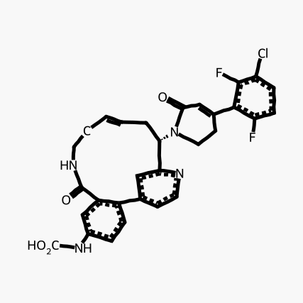 O=C(O)Nc1ccc2c(c1)C(=O)NCC/C=C/C[C@H](N1CCC(c3c(F)ccc(Cl)c3F)=CC1=O)c1cc-2ccn1